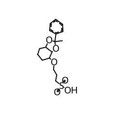 CC1(c2ccccc2)OC2CCCC(OCCCS(=O)(=O)O)C2O1